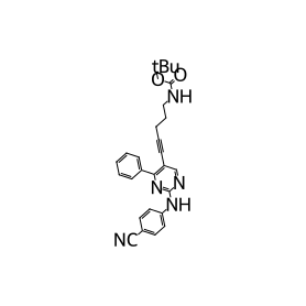 CC(C)(C)OC(=O)NCCCC#Cc1cnc(Nc2ccc(C#N)cc2)nc1-c1ccccc1